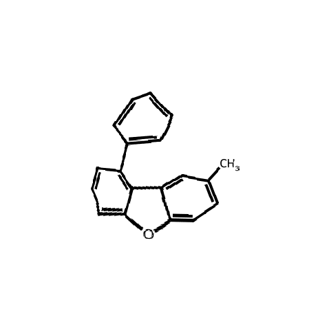 Cc1ccc2oc3cccc(-c4ccccc4)c3c2c1